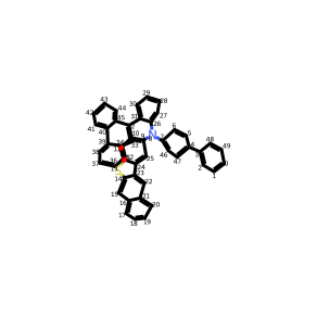 c1ccc(-c2ccc(N(c3ccc4sc5cc6ccccc6cc5c4c3)c3ccccc3-c3cc4ccccc4c4ccccc34)cc2)cc1